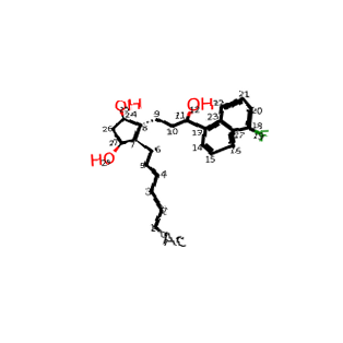 CC(=O)CCCCCC[C@@H]1[C@@H](CCC(O)c2cccc3c(F)cccc23)[C@H](O)C[C@@H]1O